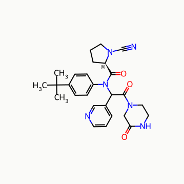 CC(C)(C)c1ccc(N(C(=O)[C@H]2CCCN2C#N)C(C(=O)N2CCNC(=O)C2)c2cccnc2)cc1